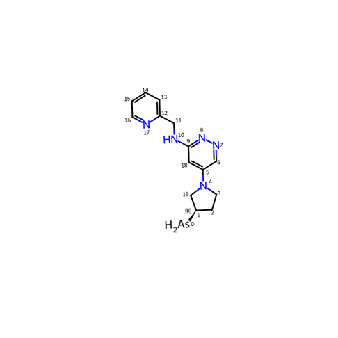 [AsH2][C@@H]1CCN(c2cnnc(NCc3ccccn3)c2)C1